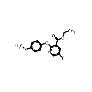 CCOC(=O)c1cc(F)cnc1Oc1ccc(SC)cc1